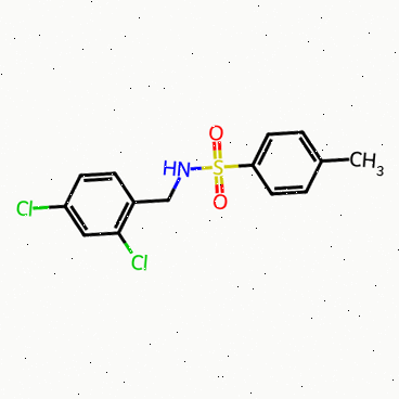 Cc1ccc(S(=O)(=O)NCc2ccc(Cl)cc2Cl)cc1